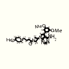 COc1cc(OC)cc(-c2cn(C3CN(C(=O)/C=C/CN4CCC(O)CC4)C3)c3ncnc(N)c23)c1